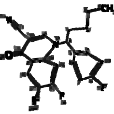 CCCCC(c1ccc(F)cc1)n1cc(C#N)c(=O)c2cc(F)c(F)cc21